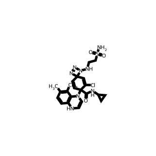 Cc1ccc2c(c1C)N(C1(C(=O)NC3CC3)C=CC3(C=C1Cl)N=NN3NCCS(N)(=O)=O)C=CN2